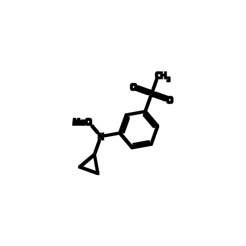 CON(c1cccc(S(C)(=O)=O)c1)C1CC1